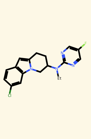 CCN(c1ncc(F)cn1)C1CCc2cc3ccc(Cl)cc3n2C1